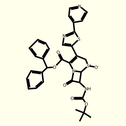 CC(C)(C)OC(=O)NC1C(=O)N2C(C(=O)OC(c3ccccc3)c3ccccc3)=C(c3cnc(-c4ccncc4)s3)C[S+]([O-])C12